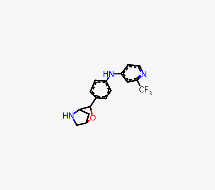 FC(F)(F)c1cc(Nc2ccc(C3OC4CNC3C4)cc2)ccn1